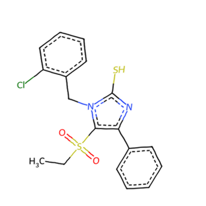 CCS(=O)(=O)c1c(-c2ccccc2)nc(S)n1Cc1ccccc1Cl